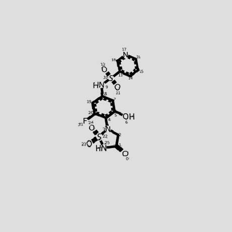 O=C1CN(c2c(O)cc(NS(=O)(=O)c3cccnc3)cc2F)S(=O)(=O)N1